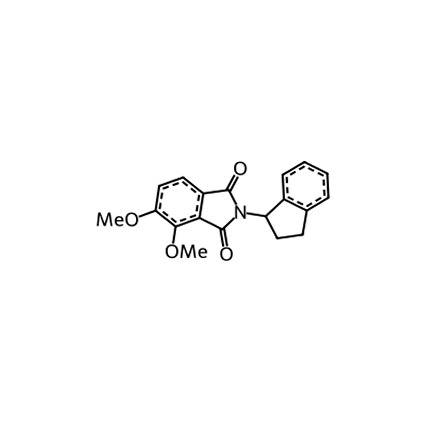 COc1ccc2c(c1OC)C(=O)N(C1CCc3ccccc31)C2=O